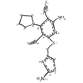 [C-]#[N+]c1c(N)nc(SCc2csc(N)n2)c(C#N)c1N1CCCC1